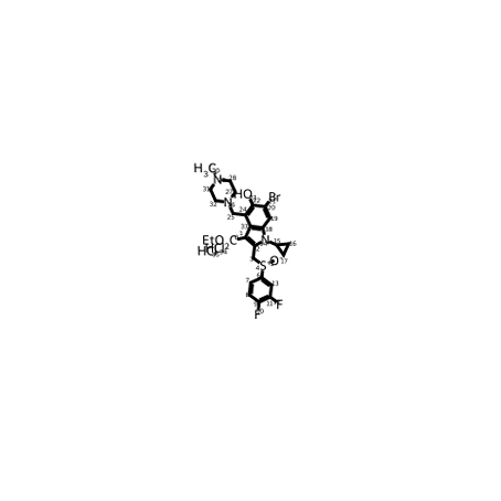 CCOC(=O)c1c(C[S+]([O-])c2ccc(F)c(F)c2)n(C2CC2)c2cc(Br)c(O)c(CN3CCN(C)CC3)c12.Cl.Cl